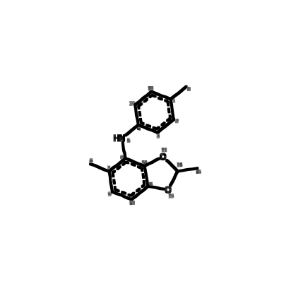 Cc1ccc(Nc2c(C)ccc3c2OC(C)O3)cc1